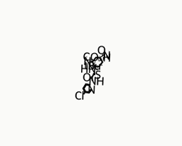 CN(C)C(=O)[C@H]1CC[C@H](NC(=S)C(=O)Nc2ccc(Cl)cn2)[C@H](N(C(=O)O)C(C)(C)C)C1